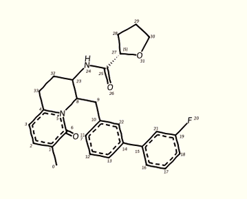 Cc1ccc2n(c1=O)C(Cc1cccc(-c3cccc(F)c3)c1)C(NC(=O)[C@@H]1CCCO1)CC2